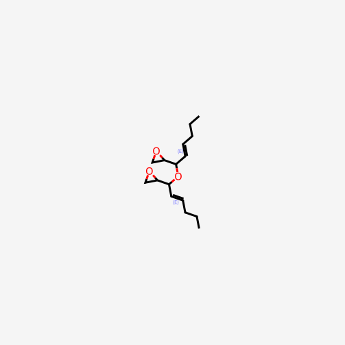 CCC/C=C/C(OC(/C=C/CCC)C1CO1)C1CO1